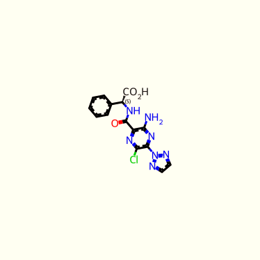 Nc1nc(-n2nccn2)c(Cl)nc1C(=O)N[C@H](C(=O)O)c1ccccc1